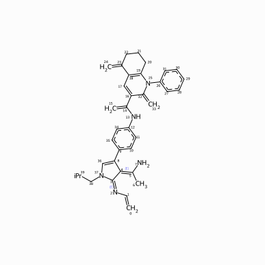 C=C/N=C1\C(=C(/C)N)C(c2ccc(NC(=C)C3=CC4=C(CCCC4=C)N(c4ccccc4)C3=C)cc2)=CN1CC(C)C